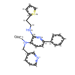 O=CN(Cc1cccnc1)c1ccc(-c2ccccc2)nc1NCCc1cccs1